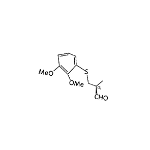 COc1cccc(SC[C@@H](C)C=O)c1OC